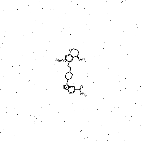 CC/N=C1\CCCOc2cc(OC)c(CCN3CCC(n4ccc5ccc(C(N)=O)cc54)CC3)cc21